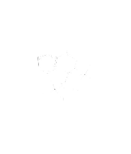 CC(C)(C)[S@@+]([O-])/N=C(/C=C\c1ccccc1)C(F)(F)F